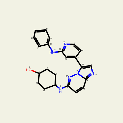 OC1CCC(Nc2ccc3ncc(-c4ccnc(Nc5ccccc5)c4)n3n2)CC1